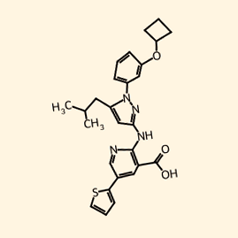 CC(C)Cc1cc(Nc2ncc(-c3cccs3)cc2C(=O)O)nn1-c1cccc(OC2CCC2)c1